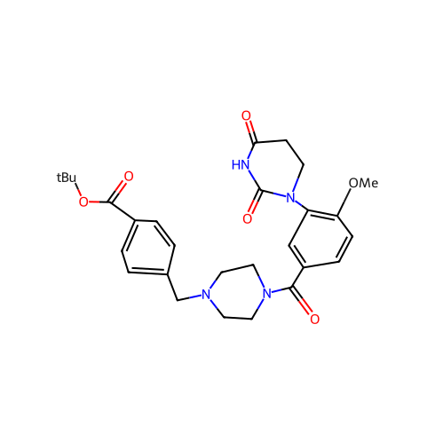 COc1ccc(C(=O)N2CCN(Cc3ccc(C(=O)OC(C)(C)C)cc3)CC2)cc1N1CCC(=O)NC1=O